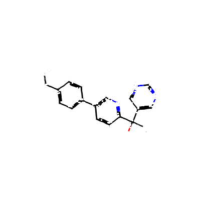 COCc1ccc(-c2ccc(C(O)(c3cncnc3)C(C)(C)C)nc2)cc1